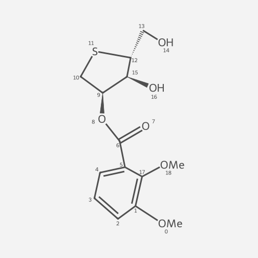 COc1cccc(C(=O)O[C@H]2CS[C@H](CO)[C@H]2O)c1OC